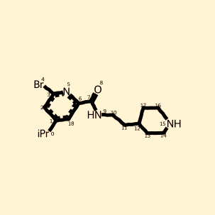 CC(C)c1cc(Br)nc(C(=O)NCCC2CCNCC2)c1